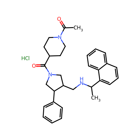 CC(=O)N1CCC(C(=O)N2CC(CNC(C)c3cccc4ccccc34)C(c3ccccc3)C2)CC1.Cl